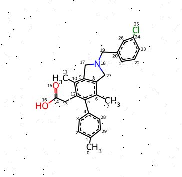 Cc1ccc(-c2c(C)c3c(c(C)c2CC(=O)O)CN(Cc2cccc(Cl)c2)C3)cc1